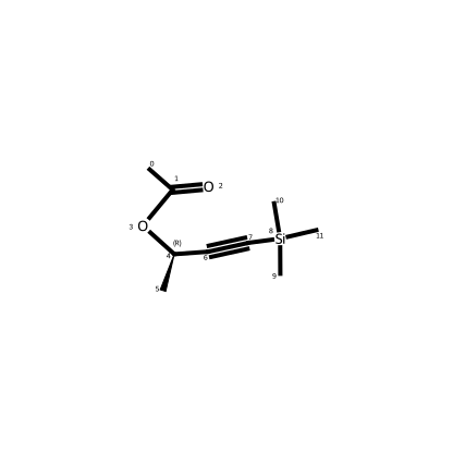 CC(=O)O[C@H](C)C#C[Si](C)(C)C